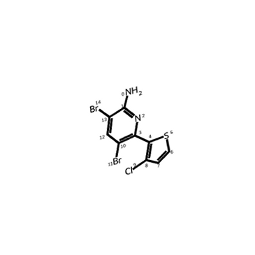 Nc1nc(-c2sccc2Cl)c(Br)cc1Br